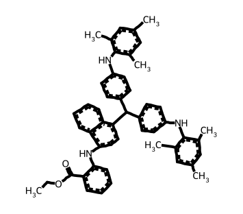 CCOC(=O)c1ccccc1Nc1ccc(C(c2ccc(Nc3c(C)cc(C)cc3C)cc2)c2ccc(Nc3c(C)cc(C)cc3C)cc2)c2ccccc12